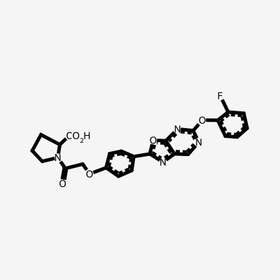 O=C(O)C1CCCN1C(=O)COc1ccc(-c2nc3cnc(Oc4ccccc4F)nc3o2)cc1